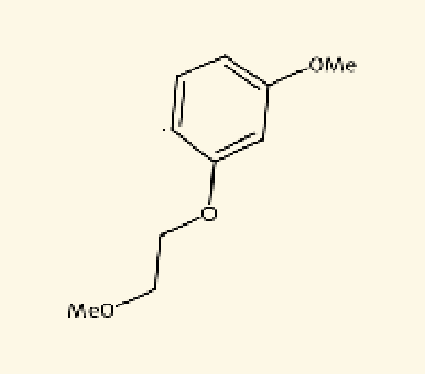 COCCOc1[c]ccc(OC)c1